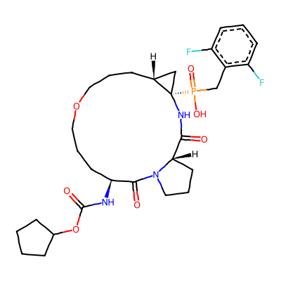 O=C(N[C@H]1CCCOCCC[C@@H]2C[C@@]2(P(=O)(O)Cc2c(F)cccc2F)NC(=O)[C@@H]2CCCN2C1=O)OC1CCCC1